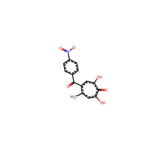 Cc1cc(O)c(=O)c(O)cc1C(=O)c1ccc([N+](=O)[O-])cc1